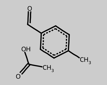 CC(=O)O.Cc1ccc(C=O)cc1